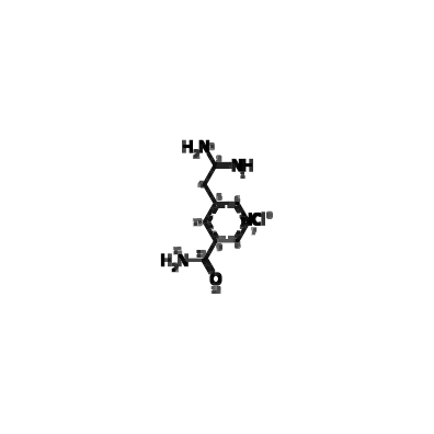 Cl.N=C(N)Cc1cccc(C(N)=O)c1